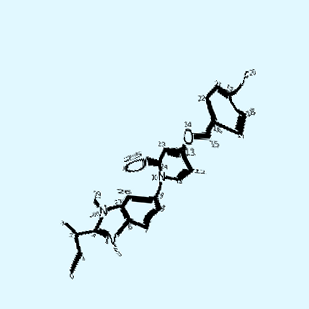 CCC(C)c1nc2ccc(-n3ccc(OCc4ccc(F)cc4)cc3=O)cc2n1C